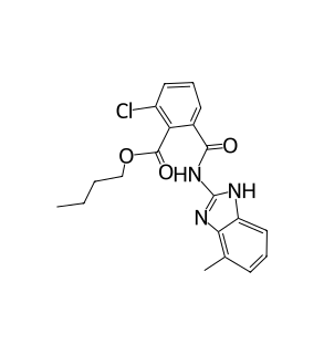 CCCCOC(=O)c1c(Cl)cccc1C(=O)Nc1nc2c(C)cccc2[nH]1